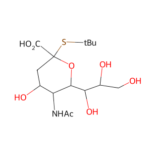 CC(=O)NC1C(O)CC(SC(C)(C)C)(C(=O)O)OC1C(O)C(O)CO